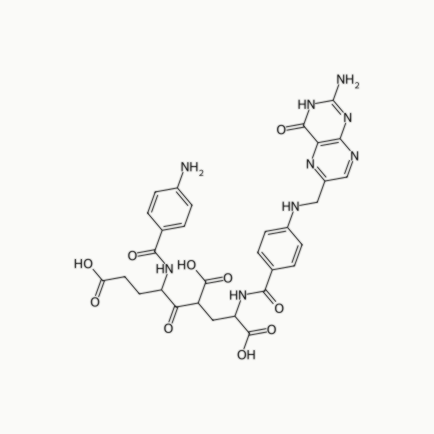 Nc1ccc(C(=O)NC(CCC(=O)O)C(=O)C(CC(NC(=O)c2ccc(NCc3cnc4nc(N)[nH]c(=O)c4n3)cc2)C(=O)O)C(=O)O)cc1